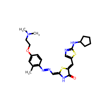 Cc1cc(OCCN(C)C)ccc1N=N/C=c1/[nH]c(=O)/c(=C/c2cnc(NC3CCCC3)s2)s1